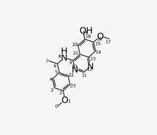 COc1ccc(C(C)Nc2ncnc3cc(OC)c(O)cc23)cc1